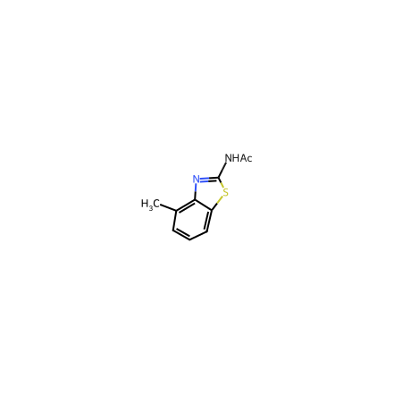 CC(=O)Nc1nc2c(C)cccc2s1